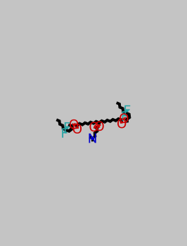 CCCCCC(F)(F)/C=C\C(C)OC(=O)CCCCCCCC(CCCCCCCC(=O)OC(C)/C=C\C(F)(F)CCCCC)OC(=O)CCCN(C)C